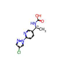 C[C@H](NC(=O)O)c1ccc(-n2cc(Cl)cn2)nc1